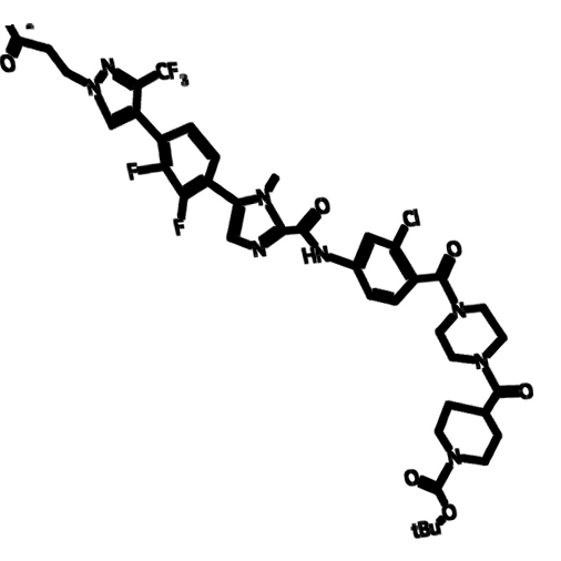 Cn1c(-c2ccc(-c3cn(CCC(N)=O)nc3C(F)(F)F)c(F)c2F)cnc1C(=O)Nc1ccc(C(=O)N2CCN(C(=O)C3CCN(C(=O)OC(C)(C)C)CC3)CC2)c(Cl)c1